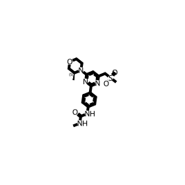 CNC(=O)Nc1ccc(-c2nc(CS(C)(=O)=O)cc(N3CCOC[C@@H]3C)n2)cc1